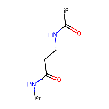 CC(C)NC(=O)CCNC(=O)C(C)C